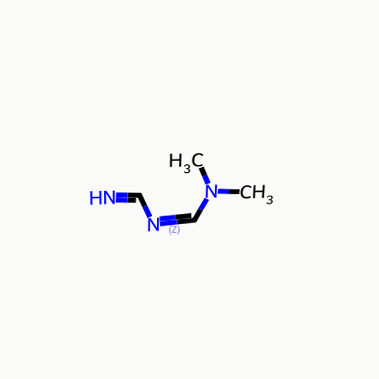 CN(C)/C=N\C=N